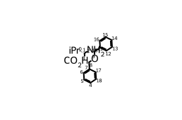 CC(C)[C@H](N)C(=O)O.c1ccc(COCc2ccccc2)cc1